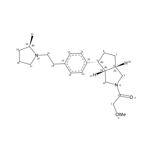 COCC(=O)N1C[C@H]2CC[C@@H](c3ccc(CCN4CCC[C@H]4C)cc3)[C@H]2C1